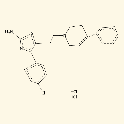 Cl.Cl.Nc1nc(-c2ccc(Cl)cc2)c(CCN2CC=C(c3ccccc3)CC2)s1